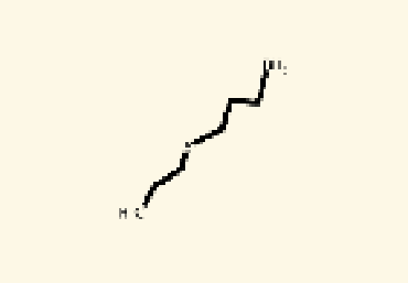 BCCCSCCC